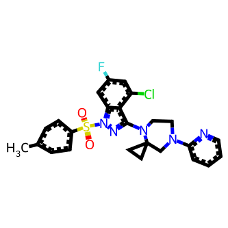 Cc1ccc(S(=O)(=O)n2nc(N3CCN(c4ccccn4)CC34CC4)c3c(Cl)cc(F)cc32)cc1